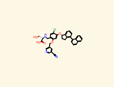 N#Cc1cncc(COc2cc(O[C@H]3CCc4c(-c5cccc6ccccc56)cccc43)c(Cl)cc2CN[C@@H](CO)C(=O)O)c1